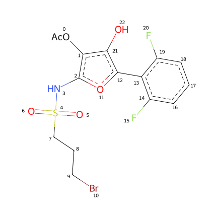 CC(=O)Oc1c(NS(=O)(=O)CCCBr)oc(-c2c(F)cccc2F)c1O